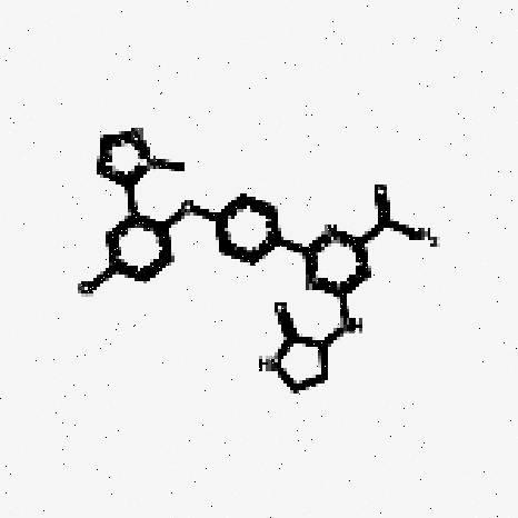 Cn1nccc1-c1cc(Cl)ccc1Oc1ccc(-c2nc(NC3CCNC3=O)cc(C(N)=O)n2)cc1